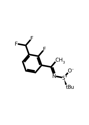 C/C(=N\[S@@+]([O-])C(C)(C)C)c1cccc(C(F)F)c1F